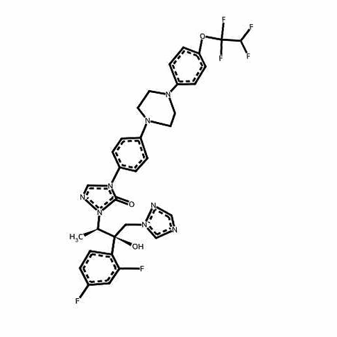 C[C@@H](n1ncn(-c2ccc(N3CCN(c4ccc(OC(F)(F)C(F)F)cc4)CC3)cc2)c1=O)[C@](O)(Cn1cncn1)c1ccc(F)cc1F